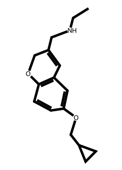 CCNCC1=Cc2cc(OCC3CC3)ccc2OC1